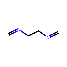 C=NCCN=C